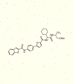 COCC(C)NC(=O)C(NC(=O)c1ccc(-c2ccc(NC(=O)c3cc4ccccc4o3)cc2)o1)C1CCCCC1